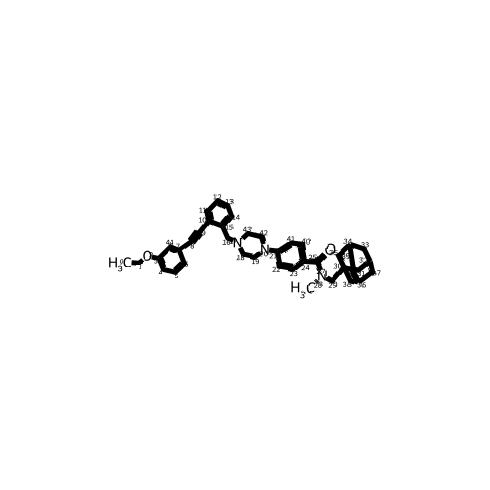 CCOc1cccc(C#Cc2ccccc2CN2CCN(c3ccc(C(=O)N(C)CC45CC6CC(CC(C6)C4)C5)cc3)CC2)c1